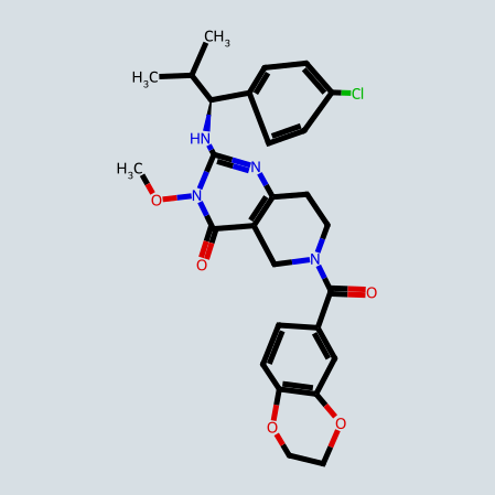 COn1c(N[C@H](c2ccc(Cl)cc2)C(C)C)nc2c(c1=O)CN(C(=O)c1ccc3c(c1)OCCO3)CC2